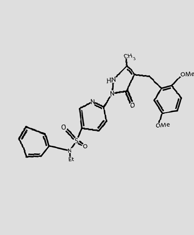 CCN(c1ccccc1)S(=O)(=O)c1ccc(-n2[nH]c(C)c(Cc3cc(OC)ccc3OC)c2=O)nc1